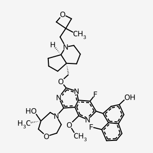 COc1nc(-c2cc(O)cc3cccc(F)c23)c(F)c2nc(OC[C@]34CCC[C@H]3N(CC3(C)COC3)CCC4)nc(N3CCOC[C@@](C)(O)C3)c12